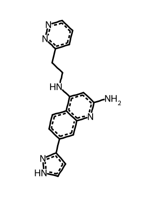 Nc1cc(NCCc2cccnn2)c2ccc(-c3cc[nH]n3)cc2n1